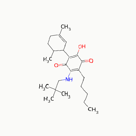 CCCCCC1=C(NCC(C)(C)C)C(=O)C(C2C=C(C)CCC2C)=C(O)C1=O